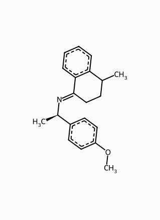 COc1ccc([C@@H](C)/N=C2\CCC(C)c3ccccc32)cc1